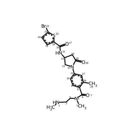 CNCCN(C)C(=O)c1ccc(N2CC(NC(=O)c3ccc(Br)s3)CC2=O)cc1C